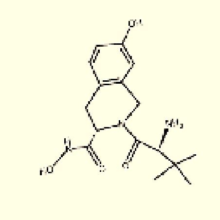 CC(C)(C)[C@H](N)C(=O)N1Cc2cc(O)ccc2C[C@H]1C(=O)NO